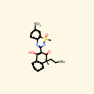 CC(C)(C)CC[C@@]1(C)C(=O)C(C2=Nc3ccc([N+](=O)[O-])cc3S(C)(=O)=N2)=C(O)c2ccccc21